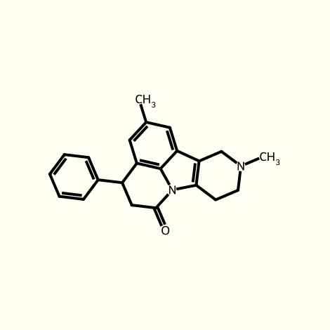 Cc1cc2c3c(c1)c1c(n3C(=O)CC2c2ccccc2)CCN(C)C1